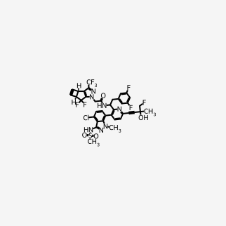 Cn1nc(NS(C)(=O)=O)c2c(Cl)ccc(-c3ccc(C#CC(C)(O)CF)nc3C(Cc3cc(F)cc(F)c3)NC(=O)Cn3nc(C(F)(F)F)c4c3C(F)(F)[C@@H]3C#C[C@H]43)c21